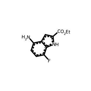 CCOC(=O)c1cc2c(N)ccc(F)c2[nH]1